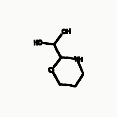 OC(O)C1NCCCO1